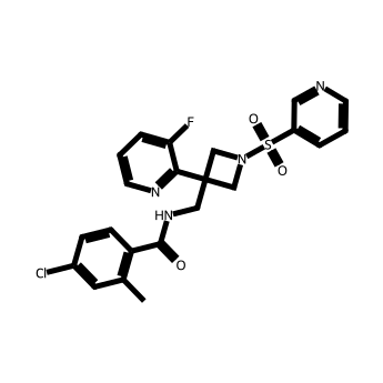 Cc1cc(Cl)ccc1C(=O)NCC1(c2ncccc2F)CN(S(=O)(=O)c2cccnc2)C1